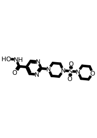 O=C(NO)c1cnc(N2CCN(S(=O)(=O)N3CCOCC3)CC2)nc1